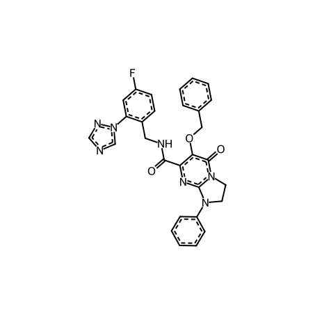 O=C(NCc1ccc(F)cc1-n1cncn1)c1nc2n(c(=O)c1OCc1ccccc1)CCN2c1ccccc1